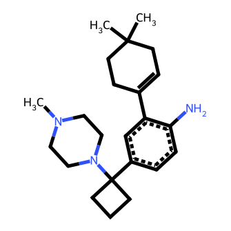 CN1CCN(C2(c3ccc(N)c(C4=CCC(C)(C)CC4)c3)CCC2)CC1